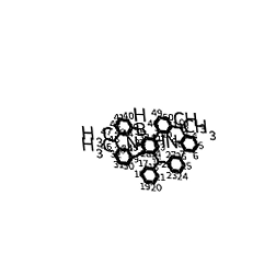 CC1(C)c2ccccc2Nc2c(-c3cc(C(c4ccccc4)c4ccccc4)c4c5cccc6c5n5c4c3Bc3cccc(c3-5)C6(C)C)cccc21